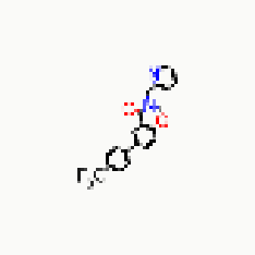 O=C1c2cc(-c3ccc(C(F)(F)F)cc3)ccc2OCN1Cc1ccccn1